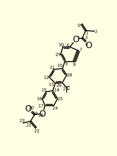 C=C(C)C(=O)Oc1c#cc(-c2ccc(-c3ccc(OC(=O)C(=C)C)cc3)c(F)c2)cc1